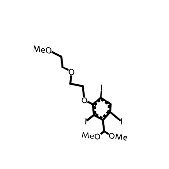 COCCOCCOc1c(I)cc(I)c(C(OC)OC)c1I